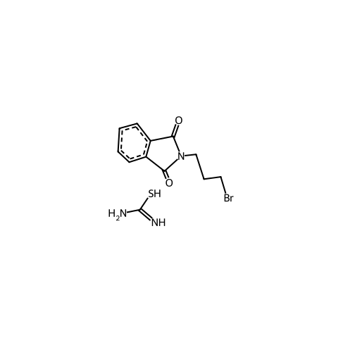 N=C(N)S.O=C1c2ccccc2C(=O)N1CCCBr